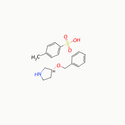 Cc1ccc(S(=O)(=O)O)cc1.c1ccc(CO[C@@H]2CCNC2)cc1